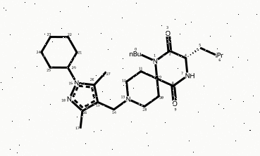 CCCCN1C(=O)[C@H](CC(C)C)NC(=O)C12CCN(Cc1c(C)nn(C3CCCCC3)c1C)CC2